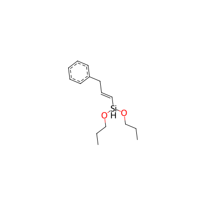 CCCO[SiH](C=CCc1ccccc1)OCCC